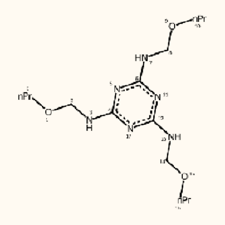 CCCOCNc1nc(NCOCCC)nc(NCOCCC)n1